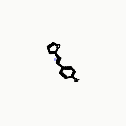 Brc1ccc(/C=C/c2ccco2)cc1